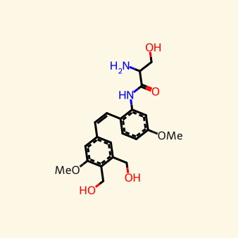 COc1ccc(/C=C\c2cc(CO)c(CO)c(OC)c2)c(NC(=O)C(N)CO)c1